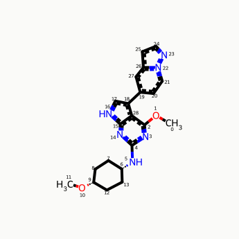 COc1nc(N[C@H]2CC[C@@H](OC)CC2)nc2[nH]cc(-c3ccn4nccc4c3)c12